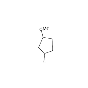 [CH2]C1CCC(OC)C1